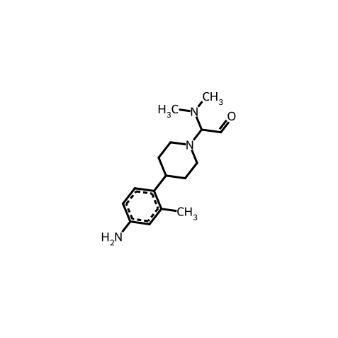 Cc1cc(N)ccc1C1CCN(C(C=O)N(C)C)CC1